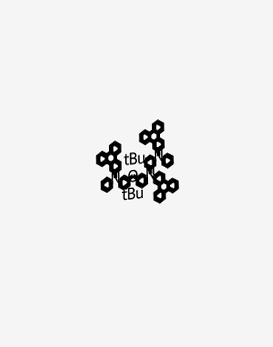 CC(C)(C)c1cc(Oc2cccc(N(c3cc(N(c4ccccc4)c4ccc5c6ccccc6c6ccccc6c5c4)cc(C(C)(C)C)c3)c3ccc4c5ccccc5c5ccccc5c4c3)c2)cc(N(c2ccccc2)c2ccc3c4ccccc4c4ccccc4c3c2)c1